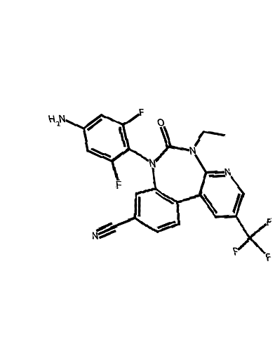 CCN1C(=O)N(c2c(F)cc(N)cc2F)c2cc(C#N)ccc2-c2cc(C(F)(F)F)cnc21